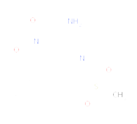 CS(=O)(=O)c1cc(C2CC2)c([N+](=O)[O-])c(N)n1